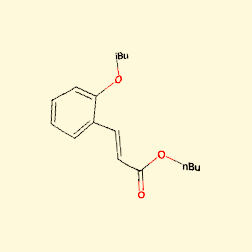 CCCCOC(=O)C=Cc1ccccc1OC(C)CC